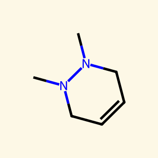 CN1CC=CCN1C